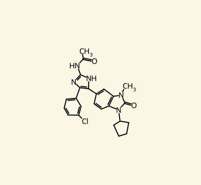 CC(=O)Nc1nc(-c2cccc(Cl)c2)c(-c2ccc3c(c2)n(C)c(=O)n3C2CCCC2)[nH]1